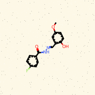 COc1ccc(O)c(/C=N/NC(=O)c2ccc(F)cc2)c1